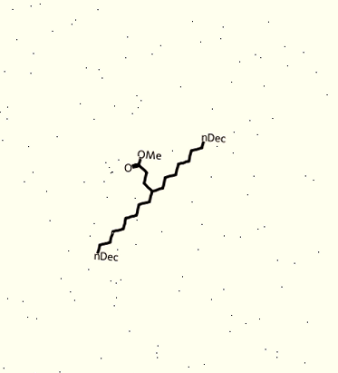 CCCCCCCCCCCCCCCCCCC(CCCCCCCCCCCCCCCCC)CCC(=O)OC